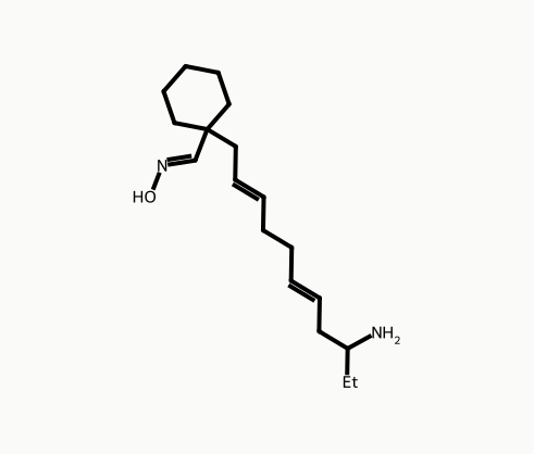 CCC(N)CC=CCCC=CCC1(C=NO)CCCCC1